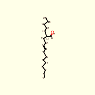 CCCCCCCCC=CCCC(C=O)CCCCC